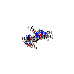 CCCCOc1nnnn1C[C@@H]1CCCN1C(=O)[C@@H](NC(=O)[C@H](C)NC)[C@@H](C)OCC#CC#CCO[C@H](C)[C@H](NC(=O)[C@H](C)NC)C(=O)N1CCC[C@H]1Cn1nnnc1OCCCC